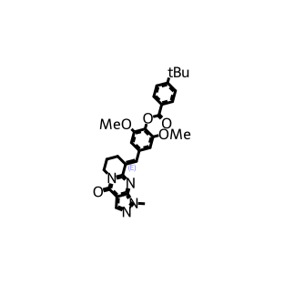 COc1cc(/C=C2\CCCn3c2nc2c(cnn2C)c3=O)cc(OC)c1OC(=O)c1ccc(C(C)(C)C)cc1